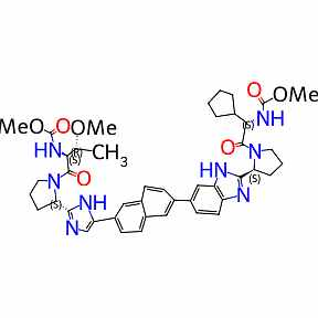 COC(=O)N[C@H](C(=O)N1CCC[C@H]1c1nc2ccc(-c3ccc4cc(-c5cnc([C@@H]6CCCN6C(=O)[C@@H](NC(=O)OC)[C@@H](C)OC)[nH]5)ccc4c3)cc2[nH]1)C1CCCC1